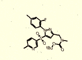 Cc1ccc(-n2nc(CN(C)C(=O)OC(C)(C)C)cc2S(=O)(=O)c2ccc(C)nc2)c(F)c1